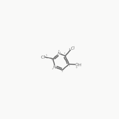 Oc1[c]nc(Cl)nc1Cl